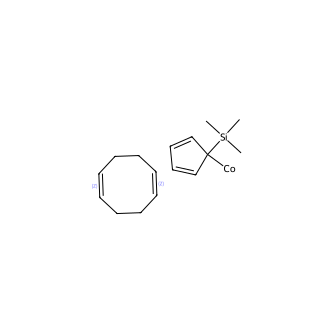 C1=C\CC/C=C\CC/1.C[Si](C)(C)[C]1([Co])C=CC=C1